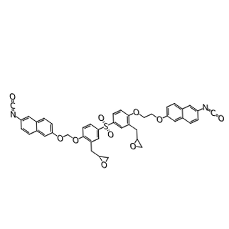 O=C=Nc1ccc2cc(OCCOc3ccc(S(=O)(=O)c4ccc(OCOc5ccc6cc(N=C=O)ccc6c5)c(CC5CO5)c4)cc3CC3CO3)ccc2c1